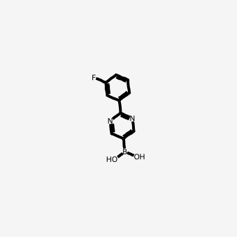 OB(O)c1cnc(-c2cccc(F)c2)nc1